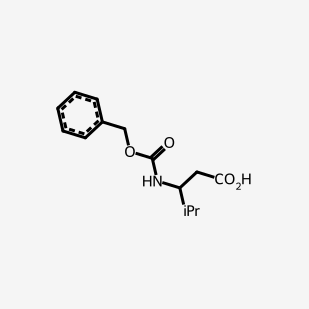 CC(C)C(CC(=O)O)NC(=O)OCc1ccccc1